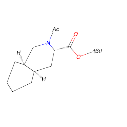 CC(=O)N1C[C@@H]2CCCC[C@@H]2C[C@H]1C(=O)OC(C)(C)C